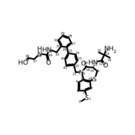 CSc1ccc2c(c1)SC[C@@H](NC(=O)C(C)(C)N)C(=O)N2Cc1ccc(-c2ccccc2CNC(=O)NCCO)cc1